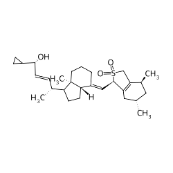 C[C@@H]1CC2=C(CS(=O)(=O)[C@@H]2/C=C2\CCC[C@]3(C)C([C@H](C)/C=C/[C@@H](O)C4CC4)CC[C@@H]23)[C@@H](C)C1